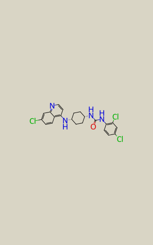 O=C(Nc1ccc(Cl)cc1Cl)N[C@H]1CC[C@@H](Nc2ccnc3cc(Cl)ccc23)CC1